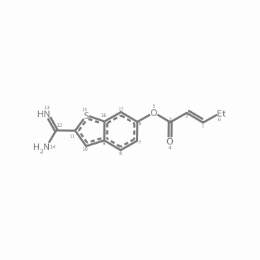 CCC=CC(=O)Oc1ccc2cc(C(=N)N)sc2c1